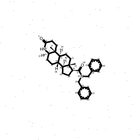 C[C@]12CCC(=O)N[C@@H]1CC[C@@H]1[C@@H]2CC[C@]2(C)[C@@H](C(=O)N(Cc3ccccc3)Cc3ccccc3)CC[C@@H]12